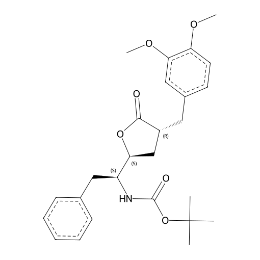 COc1ccc(C[C@@H]2C[C@@H]([C@H](Cc3ccccc3)NC(=O)OC(C)(C)C)OC2=O)cc1OC